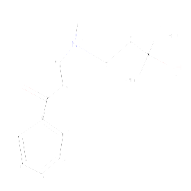 CCCCCC(O)(CCCCC)CCN(CC)CCC(=O)c1ccccc1